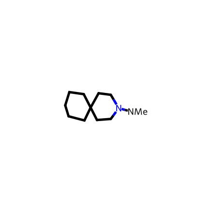 CNN1CCC2(CCCCC2)CC1